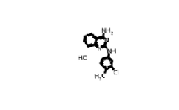 Cc1ccc(Nc2nc(N)c3ccccc3n2)cc1Cl.Cl